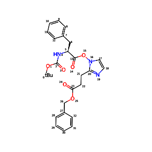 CC(C)(C)OC(=O)N[C@@H](Cc1ccccc1)C(=O)On1ccnc1CCC(=O)OCc1ccccc1